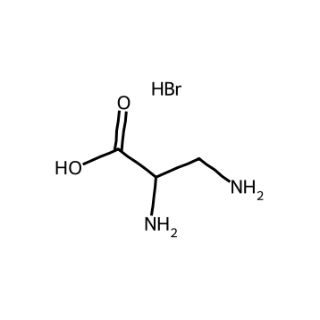 Br.NCC(N)C(=O)O